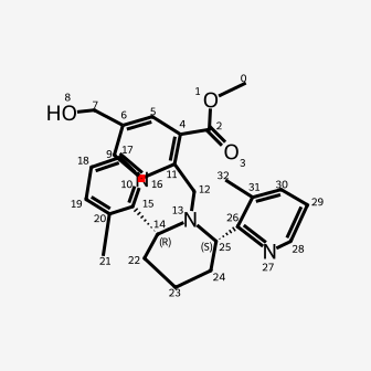 COC(=O)c1cc(CO)ccc1CN1[C@@H](c2ncccc2C)CCC[C@H]1c1ncccc1C